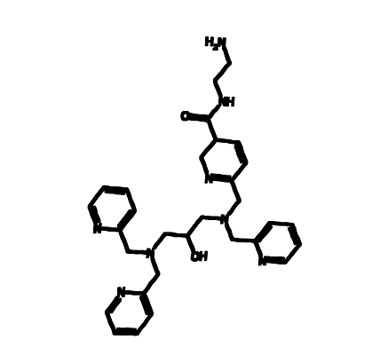 NCCNC(=O)C1C=CC(CN(Cc2ccccn2)CC(O)CN(Cc2ccccn2)Cc2ccccn2)=NC1